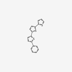 c1ccc(-c2ccc(-c3ccc(-c4cccs4)s3)s2)cc1